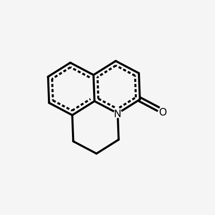 O=c1ccc2cccc3c2n1CCC3